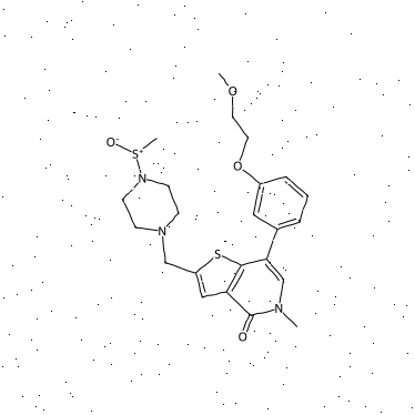 COCCOc1cccc(-c2cn(C)c(=O)c3cc(CN4CCN([S+](C)[O-])CC4)sc23)c1